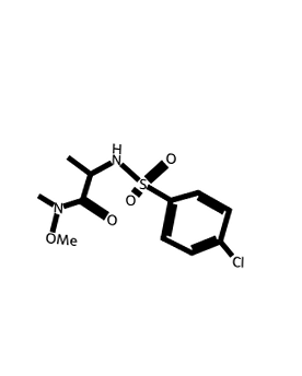 CON(C)C(=O)C(C)NS(=O)(=O)c1ccc(Cl)cc1